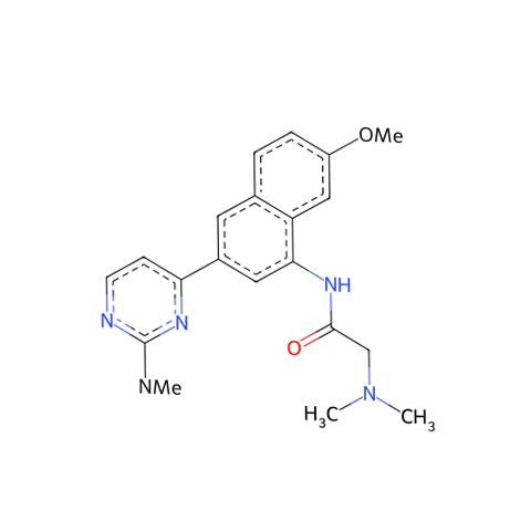 CNc1nccc(-c2cc(NC(=O)CN(C)C)c3cc(OC)ccc3c2)n1